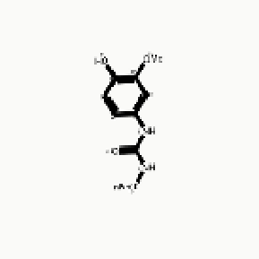 CCCCCNC(=O)Nc1ccc(O)c(OC)c1